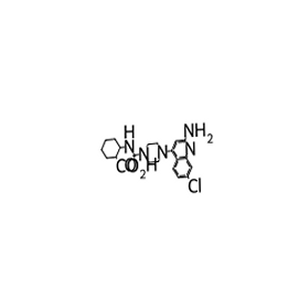 Nc1cc(N2CCN(C(=O)NC3CCCCC3C(=O)O)CC2)c2ccc(Cl)cc2n1